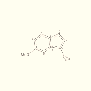 COc1ccc2ncc(C)n2c1